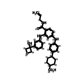 C=CCNC(=O)c1cnc(Nc2ccc(C3CCC(C(=O)O)CC3)cc2)nc1Nc1cccc(C2(O)COC2)n1